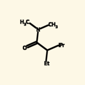 CCC(C(=O)N(C)C)C(C)C